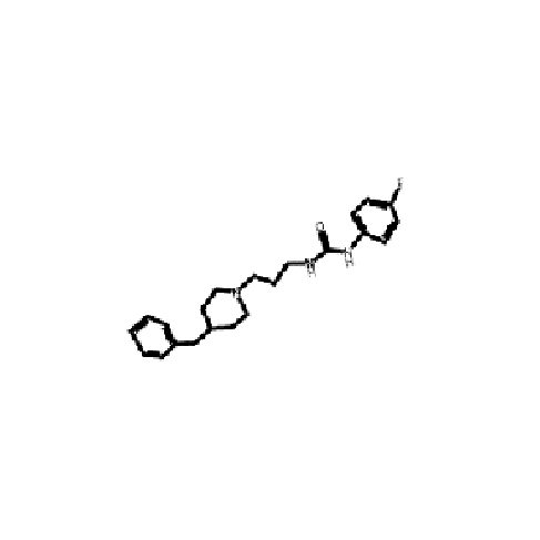 O=C(NCCCN1CCC(Cc2ccccc2)CC1)Nc1ccc(F)cc1